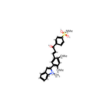 CNS(=O)(=O)c1ccc(C(=O)C=Cc2cc(-c3cc4ccccc4n3C)c(OC)cc2OC)cc1